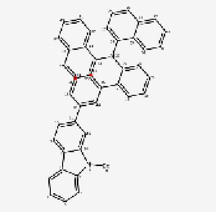 CCn1c2ccccc2c2ccc(-c3cccc(-c4ccccc4N(c4cccc5ccccc45)c4cccc5ccccc45)c3)cc21